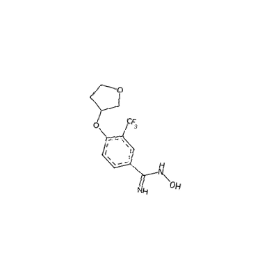 N=C(NO)c1ccc(OC2CCOC2)c(C(F)(F)F)c1